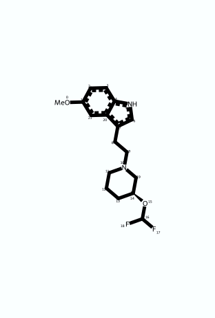 COc1ccc2[nH]cc(CCN3CCC[C@H](OC(F)F)C3)c2c1